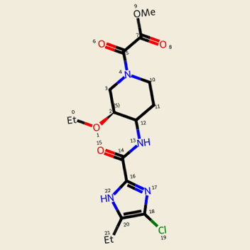 CCO[C@H]1CN(C(=O)C(=O)OC)CCC1NC(=O)c1nc(Cl)c(CC)[nH]1